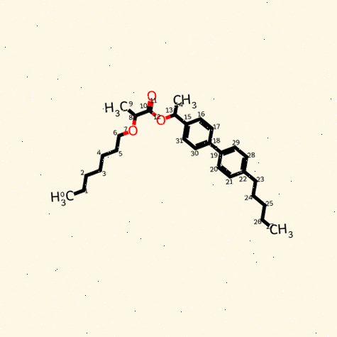 CCCCCCCOC(C)C(=O)OC(C)c1ccc(-c2ccc(CCCCC)cc2)cc1